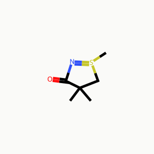 CS1=NC(=O)C(C)(C)C1